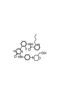 CCCCc1ncccc1C(=O)Nc1cccc(-c2cn(C)c(=O)c(Nc3ccc(N4CCOC(CO)C4)cc3)n2)c1F